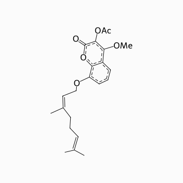 COc1c(OC(C)=O)c(=O)oc2c(OCC=C(C)CCC=C(C)C)cccc12